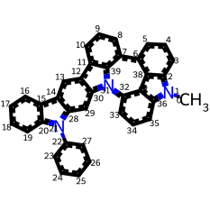 Cn1c2cccc3c4cccc5c6cc7c8ccccc8n(-c8ccccc8)c7cc6n(c6cccc1c6c32)c45